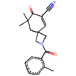 Cc1ccccc1C(=O)N1CC2(C=C(C#N)C(=O)C(C)(C)C2)C1